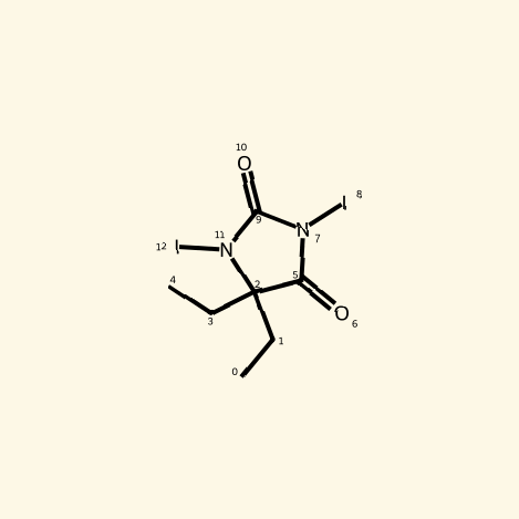 CCC1(CC)C(=O)N(I)C(=O)N1I